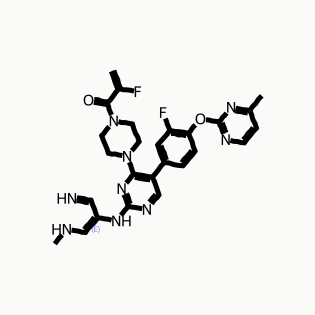 C=C(F)C(=O)N1CCN(c2nc(N/C(C=N)=C/NC)ncc2-c2ccc(Oc3nccc(C)n3)c(F)c2)CC1